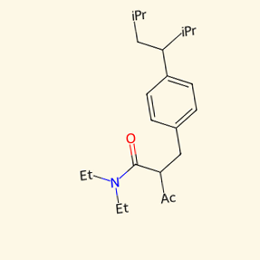 CCN(CC)C(=O)C(Cc1ccc(C(CC(C)C)C(C)C)cc1)C(C)=O